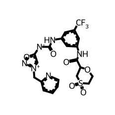 O=C([N-]c1c[n+](Cc2ccccn2)no1)Nc1cc(NC(=O)C2CS(=O)(=O)CCO2)cc(C(F)(F)F)c1